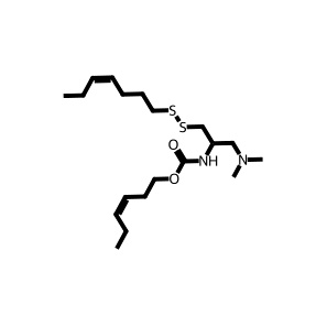 CC/C=C\CCCSSCC(CN(C)C)NC(=O)OCC/C=C\CC